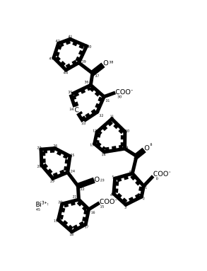 O=C([O-])c1ccccc1C(=O)c1ccccc1.O=C([O-])c1ccccc1C(=O)c1ccccc1.O=C([O-])c1ccccc1C(=O)c1ccccc1.[Bi+3]